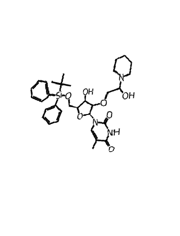 Cc1cn([C@H]2O[C@@H](CO[Si](c3ccccc3)(c3ccccc3)C(C)(C)C)C(O)C2OCC(O)N2CCCCC2)c(=O)[nH]c1=O